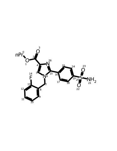 CCCOC(=O)c1cn(Cc2ccccc2F)c(-c2ccc(S(N)(=O)=O)cc2)n1